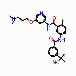 Cc1ccc(NC(=O)c2cccc(C(C)(C)C#N)c2)cc1C(=O)Nc1cncc(OCCCN(C)C)c1